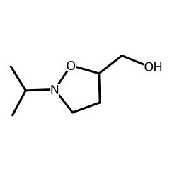 CC(C)N1CCC(CO)O1